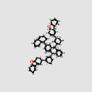 c1cc(-c2ccc3oc4ccccc4c3c2)cc(-c2c3ccccc3c(-c3cccc(-c4ccc5oc6ccccc6c5c4)c3)c3cc(-c4cccc5ccccc45)ccc23)c1